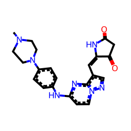 CN1CCN(c2ccc(Nc3ccn4ncc(/C=C5/NC(=O)CC5=O)c4n3)cc2)CC1